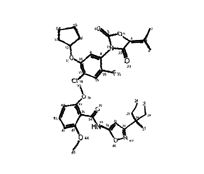 CC(C)=C1OC(=O)N(c2cc(OC3CCCC3)c(Cl)cc2F)C1=O.CCC(C)(CC)c1cc(NC(=O)c2c(OC)cccc2OC)on1